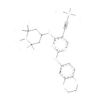 CN1C(C)(C)CC(Nc2nc(Nc3ccc4c(c3)OCCO4)ncc2C#C[Si](C)(C)C)CC1(C)C